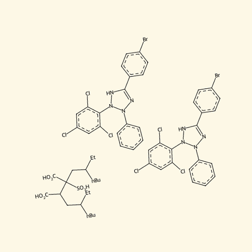 CCCCC(CC)CC(C(=O)O)C(CC(CC)CCCC)(C(=O)O)S(=O)(=O)O.Clc1cc(Cl)c(N2NC(c3ccc(Br)cc3)=NN2c2ccccc2)c(Cl)c1.Clc1cc(Cl)c(N2NC(c3ccc(Br)cc3)=NN2c2ccccc2)c(Cl)c1